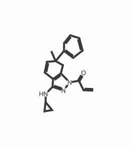 C=CC(=O)n1nc(NC2CC2)c2c1CC(C)(c1ccccc1)C=C2